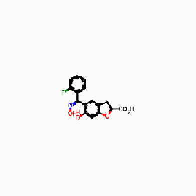 O=C(O)C1Cc2cc(/C(=N\O)c3ccccc3F)c(O)cc2O1